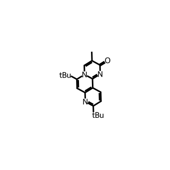 Cc1cn2c(C(C)(C)C)cc3nc(C(C)(C)C)ccc3c2nc1=O